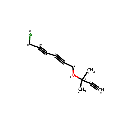 C#CC(C)(C)OCC#CC#CCBr